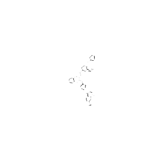 O=[N+]([O-])c1cc([C@H](O)CN(Cc2ccccc2)[C@H](CO)Cc2ccc(Oc3ccnc4cc(C(F)(F)F)ccc34)cc2)ccc1OCc1ccccc1